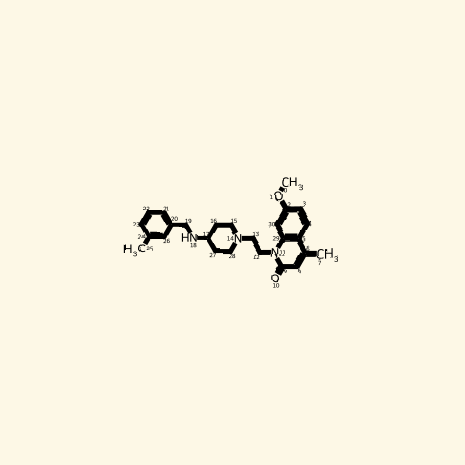 COc1ccc2c(C)cc(=O)n(CCN3CCC(NCc4cccc(C)c4)CC3)c2c1